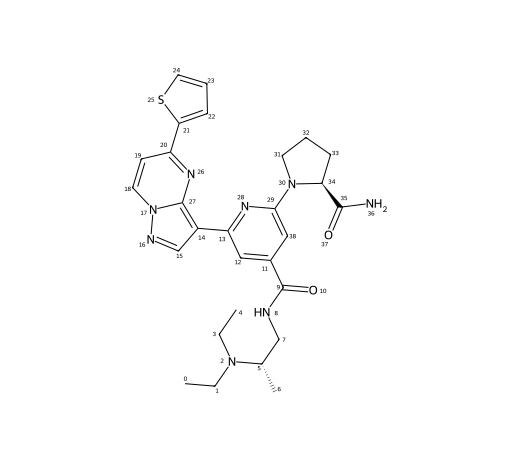 CCN(CC)[C@@H](C)CNC(=O)c1cc(-c2cnn3ccc(-c4cccs4)nc23)nc(N2CCC[C@H]2C(N)=O)c1